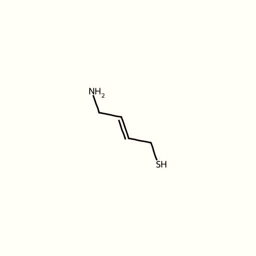 NCC=CCS